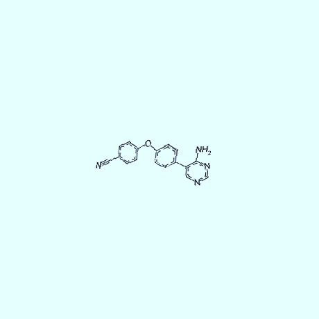 N#Cc1ccc(Oc2ccc(-c3cncnc3N)cc2)cc1